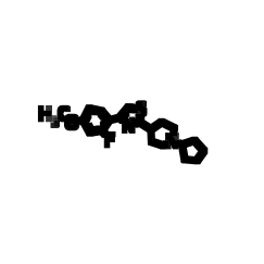 COc1ccc(-c2csc(C3CCN(C4CCCC4)CC3)n2)c(F)c1